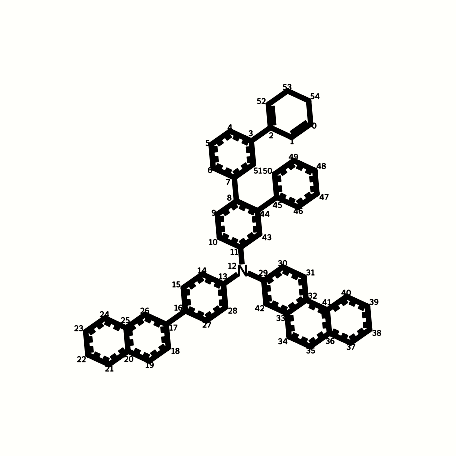 C1=CC(c2cccc(-c3ccc(N(c4ccc(-c5ccc6ccccc6c5)cc4)c4ccc5c(ccc6ccccc65)c4)cc3-c3ccccc3)c2)=CCC1